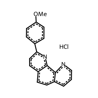 COc1ccc(-c2ccc3ccc4cccnc4c3n2)cc1.Cl